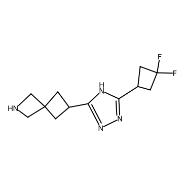 FC1(F)CC(c2nnc(C3CC4(CNC4)C3)[nH]2)C1